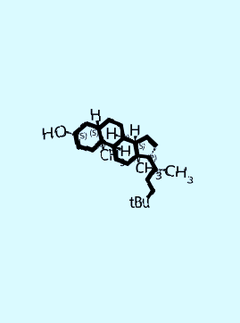 C[C@H](CCC(C)(C)C)[C@H]1CC[C@H]2[C@@H]3CC[C@H]4C[C@@H](O)CC[C@]4(C)[C@H]3CC[C@]12C